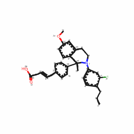 CCCc1ccc(N2CCc3cc(OC)ccc3C2(C)c2ccc(C=CC(=O)O)cc2)cc1Cl